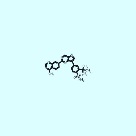 Cc1ncnc2cc(-c3ncc4scc(-c5ccc(S(N)(=O)=O)c(C(C)(C)C)c5)c4n3)ccc12